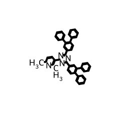 Cc1ccc(-c2nc(-c3ccc(-c4ccccc4)c(-c4ccccc4)c3)nc(-c3ccc(-c4ccccc4)c(-c4ccccc4)c3)n2)c(C)n1